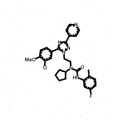 COc1ccc(-c2nc(-c3ccncc3)nn2CCN(C(=O)Nc2cc(F)ccc2C)C2CCCC2)cc1Cl